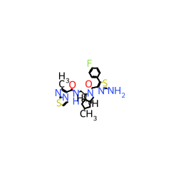 Cc1nc2sccn2c1C(=O)NC[C@@H]1[C@H]2CC(C)C[C@H]2CN1C(=O)c1nc(N)sc1-c1ccc(F)cc1